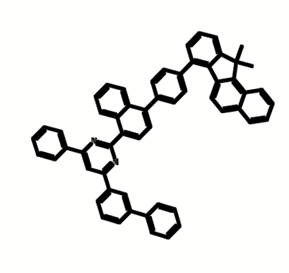 CC1(C)c2cccc(-c3ccc(-c4ccc(-c5nc(-c6ccccc6)cc(-c6cccc(-c7ccccc7)c6)n5)c5ccccc45)cc3)c2-c2ccc3ccccc3c21